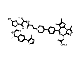 COC(=O)C[C@@H]1N=C(c2ccc(C3=CCN(CCC(=O)NC(C(=O)N4C[C@H](O)C[C@H]4C(=O)N[C@@H](C)c4ccc(-c5scnc5C)cc4)C(C)(C)C)CC3)cc2)c2c(sc(C)c2C)-n2c(C)nnc21